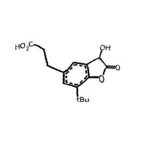 CC(C)(C)c1cc(CCC(=O)O)cc2c1OC(=O)C2O